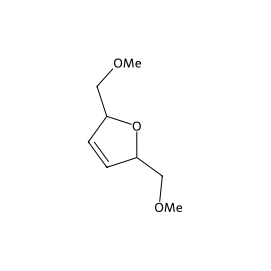 COCC1C=CC(COC)O1